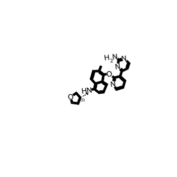 Cc1ccc2c(NC[C@@H]3CCOC3)cccc2c1Oc1ncccc1-c1ccnc(N)n1